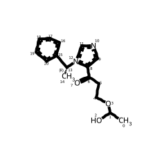 CC(O)OCCC(=O)c1cncn1[C@H](C)c1ccccc1